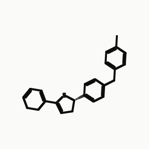 Cc1ccc(Cc2ccc([C@@H]3CC=C(C4=CC=CCC4)S3)cc2)cc1